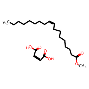 CCCCCCCC/C=C\CCCCCCCC(=O)OC.O=C(O)/C=C\C(=O)O